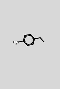 C[CH]c1ccc(N)cc1